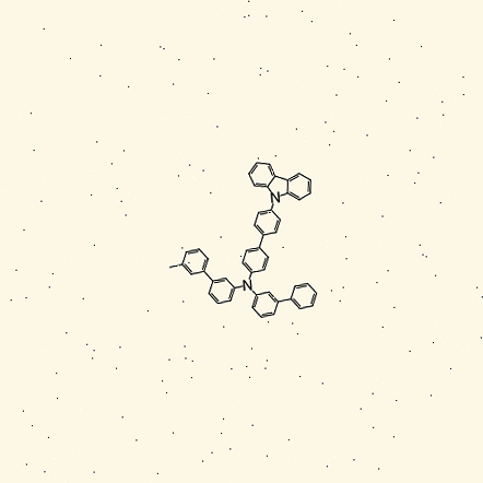 Cc1cccc(-c2cccc(N(c3ccc(-c4ccc(-n5c6ccccc6c6ccccc65)cc4)cc3)c3cccc(-c4ccccc4)c3)c2)c1